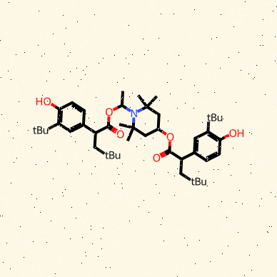 CC(OC(=O)C(CC(C)(C)C)c1ccc(O)c(C(C)(C)C)c1)N1C(C)(C)CC(OC(=O)C(CC(C)(C)C)c2ccc(O)c(C(C)(C)C)c2)CC1(C)C